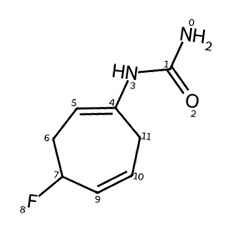 NC(=O)NC1=CCC(F)C=CC1